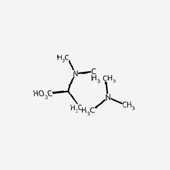 CC(C(=O)O)N(C)C.CN(C)C